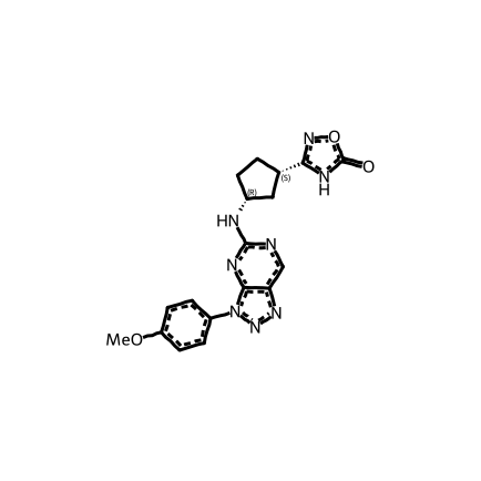 COc1ccc(-n2nnc3cnc(N[C@@H]4CC[C@H](c5noc(=O)[nH]5)C4)nc32)cc1